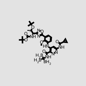 BC(B)(B)NC(=O)c1nnc(NC(=O)C2CC2)cc1Nc1cccc(-c2nc([C@@H](NC(=O)OC(C)(C)C)[C@@H](C)OC(C)(C)C)no2)c1OC